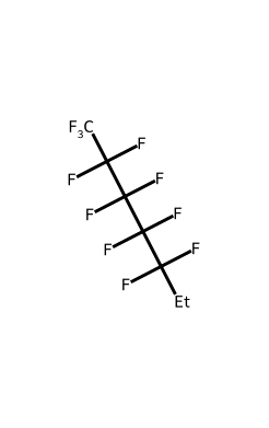 CCC(F)(F)C(F)(F)C(F)(F)C(F)(F)C(F)(F)F